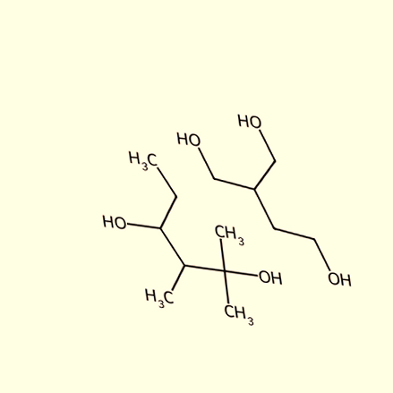 CCC(O)C(C)C(C)(C)O.OCCC(CO)CO